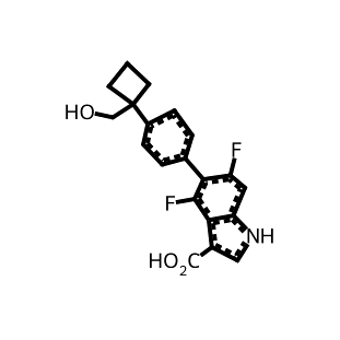 O=C(O)c1c[nH]c2cc(F)c(-c3ccc(C4(CO)CCC4)cc3)c(F)c12